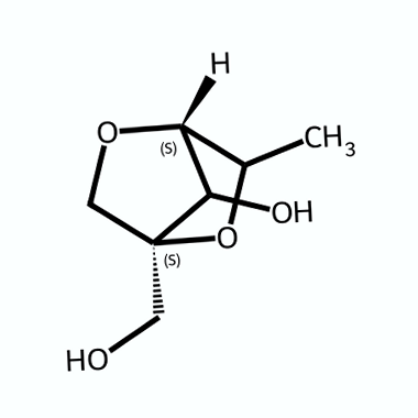 CC1O[C@@]2(CO)CO[C@H]1C2O